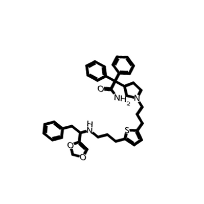 NC(=O)C(c1ccccc1)(c1ccccc1)C1CCN(CCCc2ccc(CCCNC(Cc3ccccc3)C3=COCO3)s2)C1